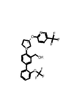 OCc1cc(-c2ccccc2OC(F)(F)F)ccc1N1CC[C@H](Oc2ccc(C(F)(F)F)cn2)C1